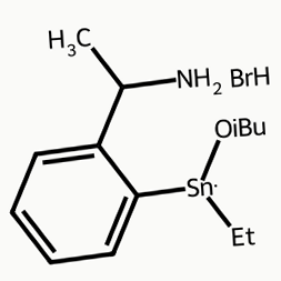 Br.C[CH2][Sn]([O]CC(C)C)[c]1ccccc1C(C)N